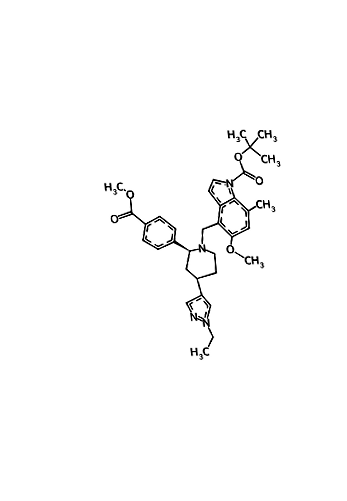 CCn1cc(C2CCN(Cc3c(OC)cc(C)c4c3ccn4C(=O)OC(C)(C)C)[C@H](c3ccc(C(=O)OC)cc3)C2)cn1